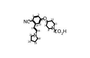 N#Cc1ccc(OC2CCN(C(=O)O)CC2)cc1C=CN1CCCC1